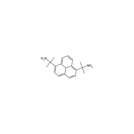 CC(C)(N)C1=CC=C2C=CC(C(C)(C)N)=C3C=CC=C1C23